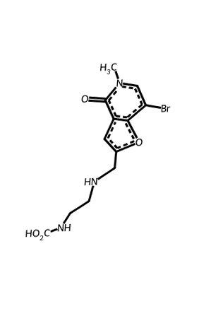 Cn1cc(Br)c2oc(CNCCNC(=O)O)cc2c1=O